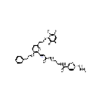 NNc1ccc(C(=O)NCCCNC(=O)/C=C/c2nc(CCSc3c(F)c(F)cc(F)c3F)ccc2OCCc2ccccc2)cn1